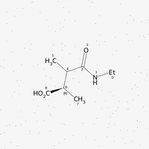 CCNC(=O)C(C)[C@@H](C)C(=O)O